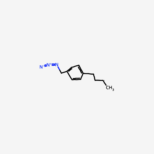 C[CH]CCc1ccc(CN=[N+]=[N-])cc1